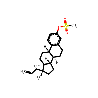 C=CC[C@@]1(C)CC[C@H]2[C@@H]3CCc4cc(OS(C)(=O)=O)ccc4[C@H]3CC[C@@]21C